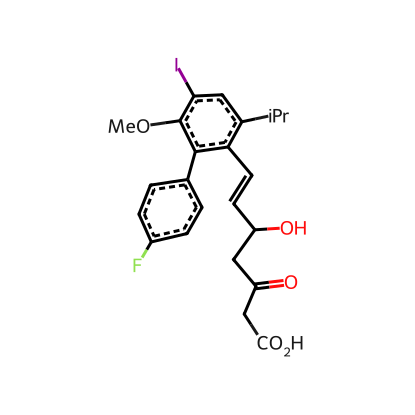 COc1c(I)cc(C(C)C)c(C=CC(O)CC(=O)CC(=O)O)c1-c1ccc(F)cc1